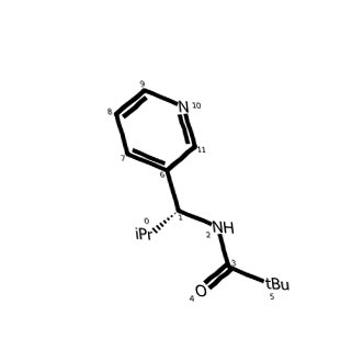 CC(C)[C@@H](NC(=O)C(C)(C)C)c1cccnc1